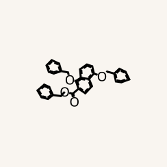 O=C(OCc1ccccc1)c1ccc2c(OCc3ccccc3)cccc2c1OCc1ccccc1